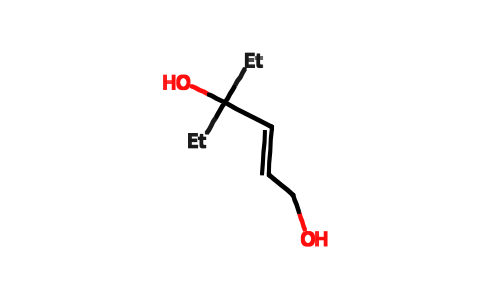 CCC(O)(/C=C/CO)CC